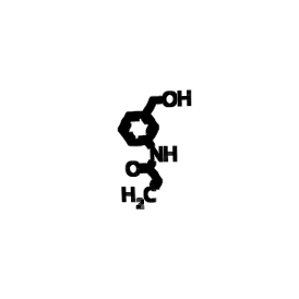 C=CC(=O)Nc1cccc(CO)c1